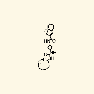 O=C(BC1CCCCCCCCC1)NC12CC(NC(=O)C3=Cc4ccccc4OC3)(C1)C2